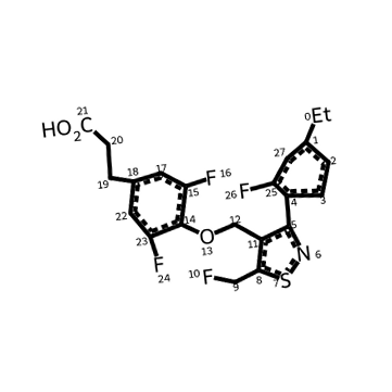 CCc1ccc(-c2nsc(CF)c2COc2c(F)cc(CCC(=O)O)cc2F)c(F)c1